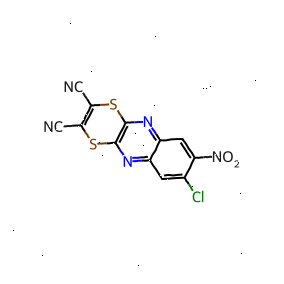 N#CC1=C(C#N)Sc2nc3cc([N+](=O)[O-])c(Cl)cc3nc2S1